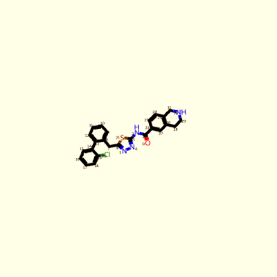 O=C(Nc1nnc(Cc2ccccc2-c2ccccc2Cl)s1)c1ccc2c(c1)CCNC2